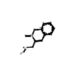 CC(C)NCC1Cc2ccccc2CN1C